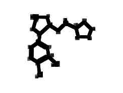 Clc1ccc(C2CNCC2COC2CCCC2)cc1Cl